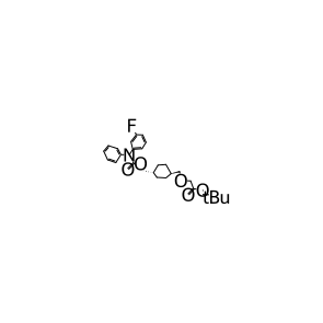 CC(C)(C)OC(=O)COC[C@H]1CC[C@H](COC(=O)N(c2ccccc2)c2cccc(F)c2)CC1